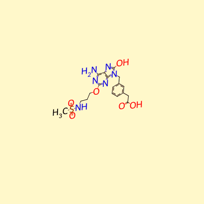 CS(=O)(=O)NCCCOc1nc(N)c2nc(O)n(Cc3cccc(CC(=O)O)c3)c2n1